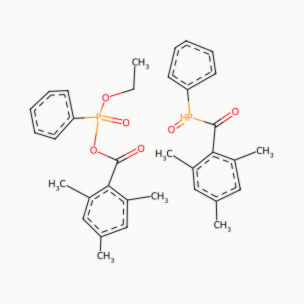 CCOP(=O)(OC(=O)c1c(C)cc(C)cc1C)c1ccccc1.Cc1cc(C)c(C(=O)[PH](=O)c2ccccc2)c(C)c1